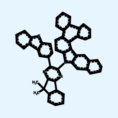 CC1(C)c2ccccc2-c2nc(-n3c4cc5ccccc5cc4c4c5c6ccccc6c6ccccc6c5ccc43)c(-c3ccc4sc5ccccc5c4c3)nc21